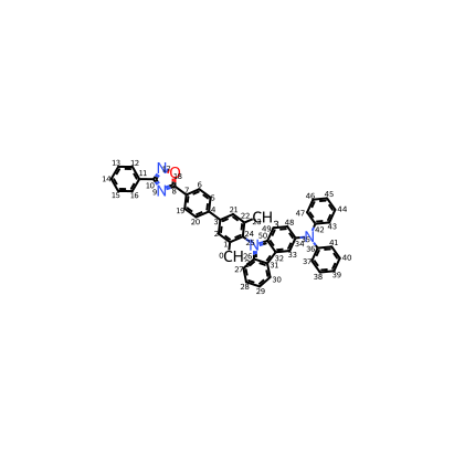 Cc1cc(-c2ccc(-c3nc(-c4ccccc4)no3)cc2)cc(C)c1-n1c2ccccc2c2cc(N(c3ccccc3)c3ccccc3)ccc21